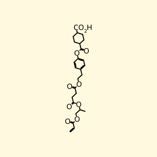 C=CC(=O)OCC(C)OC(=O)CCC(=O)OCCc1ccc(OC(=O)C2CCC(C(=O)O)CC2)cc1